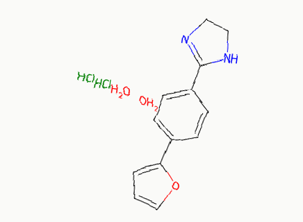 Cl.Cl.O.O.c1coc(-c2ccc(C3=NCCN3)cc2)c1